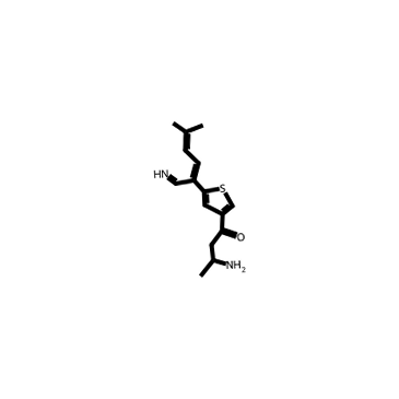 CC(C)=C/C=C(\C=N)c1cc(C(=O)CC(C)N)cs1